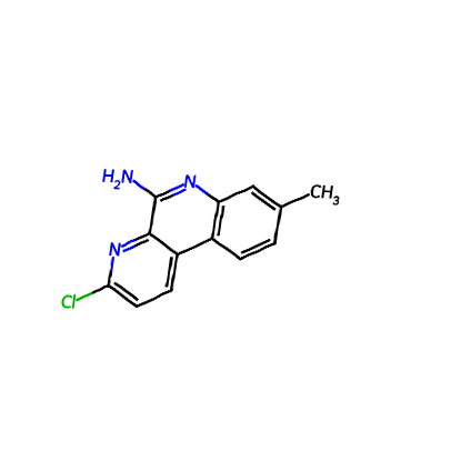 Cc1ccc2c(c1)nc(N)c1nc(Cl)ccc12